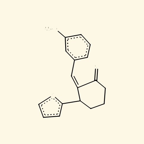 COc1cccc(/C=C2\C(=O)CCCC2c2cccs2)c1